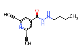 C#Cc1cc(C(=O)NNCCCC)cc(C#C)n1